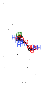 O=C1CCC(N2Cc3c(OCCCCNC(=O)c4ccc(NC(=O)[C@@H]5NC6(CCCCC6)[C@@]6(C(=O)Nc7cc(Cl)ccc76)[C@H]5c5cccc(Cl)c5F)cc4)cccc3C2=O)C(=O)N1